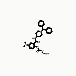 CCCCCCCNC(=O)Nc1ccc(N(C)C)cc1C(=O)NC1CCN(C(c2ccccc2)c2ccccc2)CC1